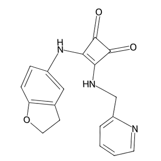 O=c1c(NCc2ccccn2)c(Nc2ccc3c(c2)CCO3)c1=O